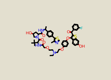 CCN(CCOCC(=O)N[C@H](C(=O)N1CC(O)CC1C(=O)NC(C)c1ccc(-c2scnc2C)cc1)C(C)(C)C)CCOc1ccc(Oc2c(C(=O)c3cccc(F)c3)sc3cc(O)ccc23)cc1